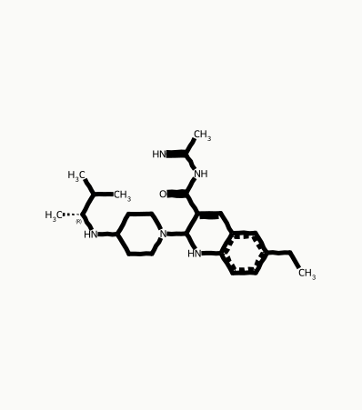 CCc1ccc2c(c1)C=C(C(=O)NC(C)=N)C(N1CCC(N[C@H](C)C(C)C)CC1)N2